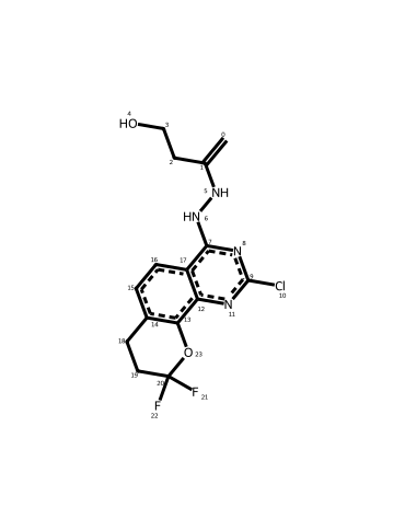 C=C(CCO)NNc1nc(Cl)nc2c3c(ccc12)CCC(F)(F)O3